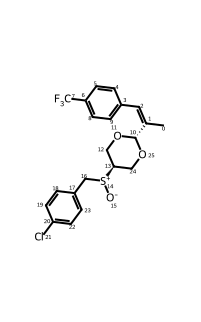 CC(=Cc1ccc(C(F)(F)F)cc1)[C@H]1OC[C@H]([S+]([O-])Cc2ccc(Cl)cc2)CO1